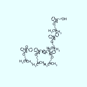 CC(=O)n1nc(OCCCN(C)C)c2ccccc21.CN(C)CCCCOc1nn(Cc2ccccc2)c2ccccc12.CN(C)CCCOc1nn(-c2ccccc2)c2ccccc12.CN(C)CCCOc1nn(C(=O)c2ccccc2)c2ccccc12.CN(C)CCCOc1nn(CCCO)c2ccccc12